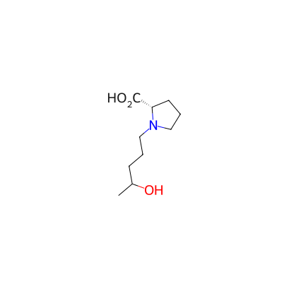 CC(O)CCCN1CCC[C@H]1C(=O)O